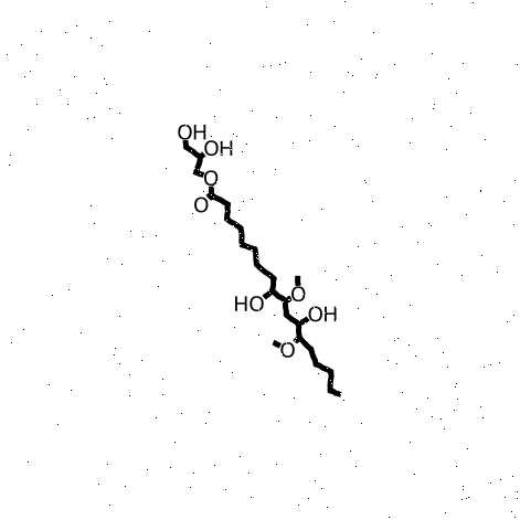 CCCCCC(OC)C(O)CC(OC)C(O)CCCCCCCC(=O)OCC(O)CO